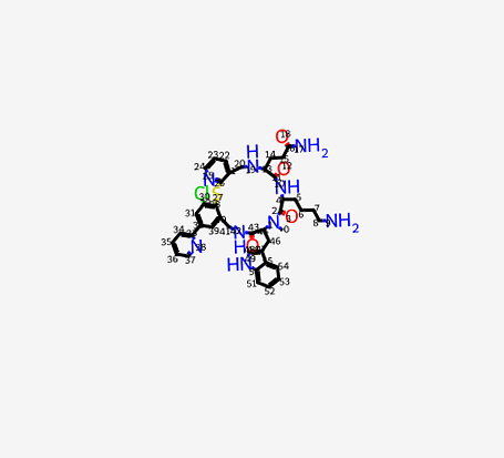 CN1C(=O)C(CCCCN)NC(=O)C(CCC(N)=O)NCc2cccnc2Sc2c(Cl)cc(-c3ccccn3)cc2CNC(=O)C1Cc1c[nH]c2ccccc12